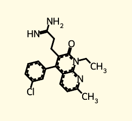 CCn1c(=O)c(CCC(=N)N)c(-c2cccc(Cl)c2)c2ccc(C)nc21